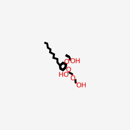 C=CC(=O)O.CCCCCCCCCc1ccc(OC(O)COCCO)cc1